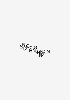 N#Cc1ccnc(N2CC(NC(=O)[C@H]3C[C@H](Oc4cccc5scnc45)C3)C2)n1